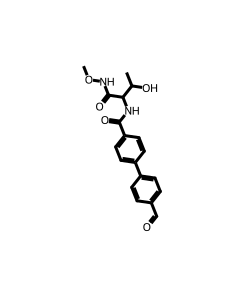 CONC(=O)C(NC(=O)c1ccc(-c2ccc(C=O)cc2)cc1)C(C)O